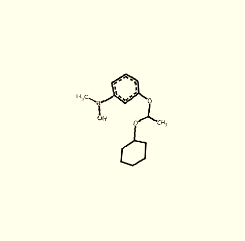 CB(O)c1cccc(OC(C)OC2CCCCC2)c1